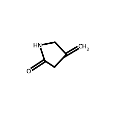 C=C1CNC(=O)C1